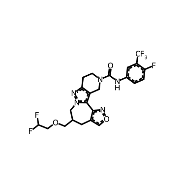 O=C(Nc1ccc(F)c(C(F)(F)F)c1)N1CCc2nn3c(c2C1)-c1nocc1CC(COCC(F)F)C3